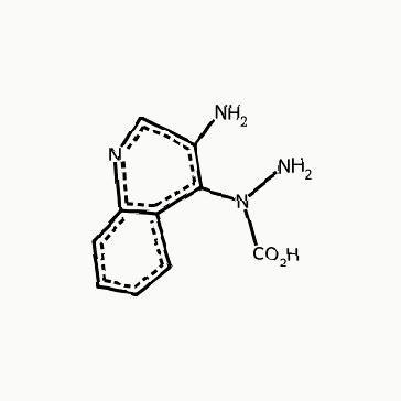 Nc1cnc2ccccc2c1N(N)C(=O)O